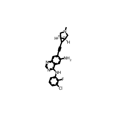 CN1C[C@@H]2C(C#Cc3cc4ncnc(Nc5cccc(Cl)c5F)c4cc3N)[C@@H]2C1